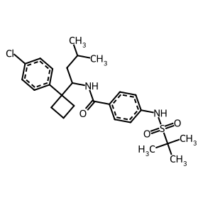 CC(C)CC(NC(=O)c1ccc(NS(=O)(=O)C(C)(C)C)cc1)C1(c2ccc(Cl)cc2)CCC1